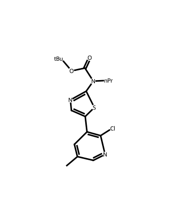 CCCN(C(=O)OC(C)(C)C)c1ncc(-c2cc(C)cnc2Cl)s1